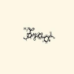 CCn1cc(NC(=O)c2coc(-c3ccnc(N(C)C)c3)n2)c(C(N)=O)n1